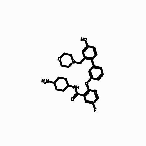 NC1CCC(NC(=O)c2cc(F)cnc2Oc2cccc(-c3ccc(O)cc3CN3CCOCC3)c2)CC1